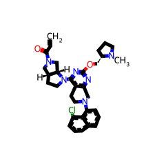 C=CC(=O)N1C[C@H]2CCN(c3nc(OC[C@@H]4CCCN4C)nc4c3CCN(c3cccc5cccc(Cl)c35)C4)[C@H]2C1